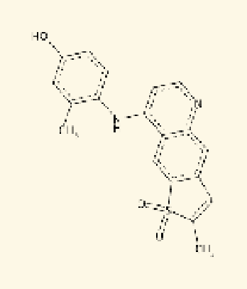 CC1=Cc2cc3nccc(Nc4ccc(O)cc4C)c3cc2S1(=O)=O